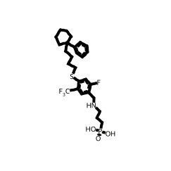 O=P(O)(O)CCCNCc1cc(C(F)(F)F)c(SCCCCC2(c3ccccc3)CCCCC2)cc1F